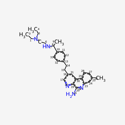 CCN(CC)CCNC(C)c1ccc(CCc2cnc3c(N)nc4cc(C)ccc4c3c2)cc1